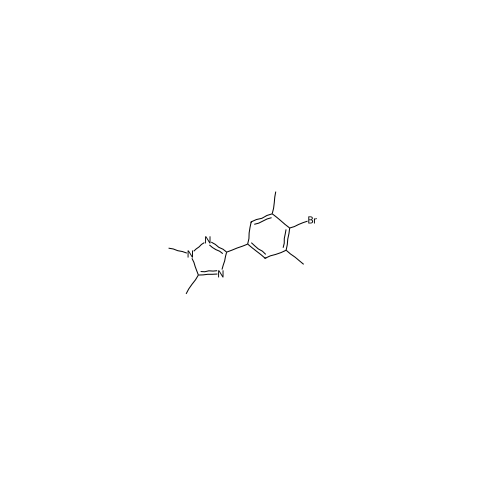 Cc1cc(-c2nc(C)n(C)n2)cc(C)c1Br